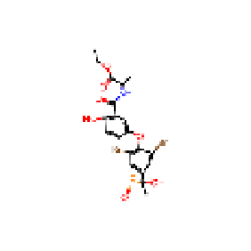 CCOC(=O)C(C)NC(=O)c1cc(Oc2c(Br)cc(C(C)(O)[PH2]=O)cc2Br)ccc1O